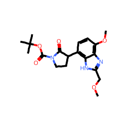 COCc1nc2c(OC)ccc(C3CCN(C(=O)OC(C)(C)C)C3=O)c2[nH]1